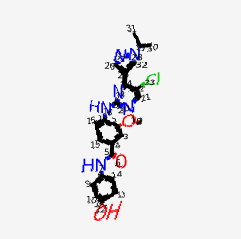 COc1cc(C(=O)Nc2ccc(O)cc2)ccc1Nc1ncc(Cl)c(-c2cnn(C(C)C)c2)n1